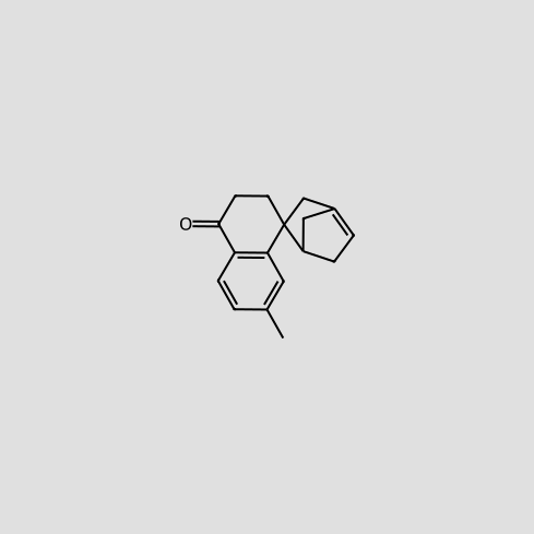 Cc1ccc2c(c1)C1(CCC2=O)CC2=CCC1C2